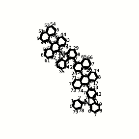 c1ccc(-n2c3ccccc3c3ccc(-c4c5ccccc5c(-c5ccc(-c6cccc7c6c6ccccc6n7-c6c7ccccc7c(-c7cccc8ccccc78)c7ccccc67)c6ccccc56)c5ccccc45)cc32)cc1